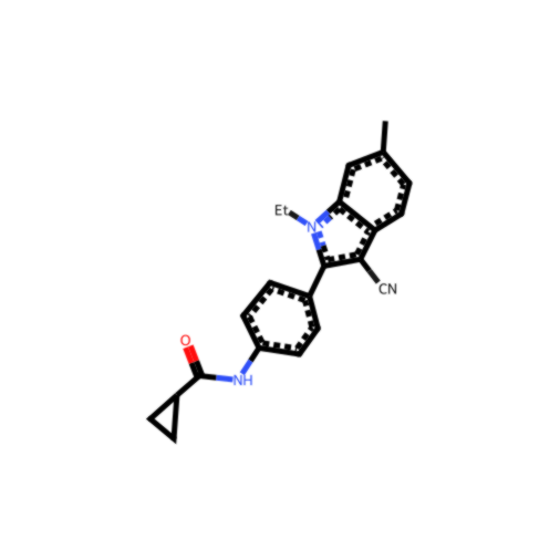 CCn1c(-c2ccc(NC(=O)C3CC3)cc2)c(C#N)c2ccc(C)cc21